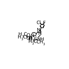 CC(C)(C)NCCn1cc(-c2ccc(F)c(Cl)c2)nc1C1CCN(C(=O)OC(C)(C)C)CC1